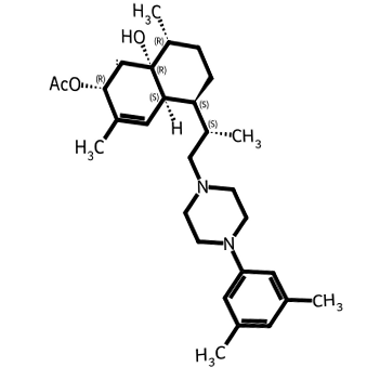 CC(=O)O[C@@H]1[C][C@@]2(O)[C@H](C)CC[C@@H]([C@H](C)CN3CCN(c4cc(C)cc(C)c4)CC3)[C@H]2C=C1C